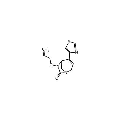 C=CCON1C(=O)N2CC=C(c3cscn3)C1C2